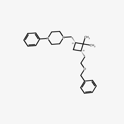 CC1(C)[C@H](CCOCc2ccccc2)C[C@@H]1CN1CCN(c2ccccc2)CC1